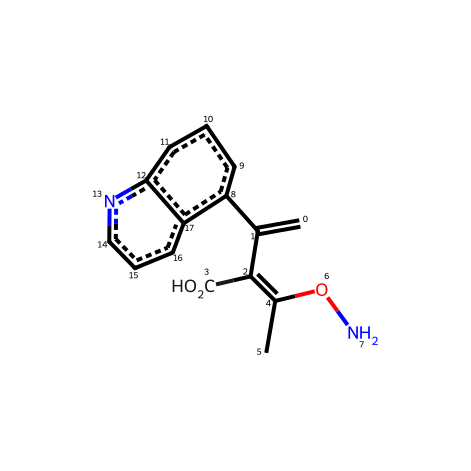 C=C(/C(C(=O)O)=C(/C)ON)c1cccc2ncccc12